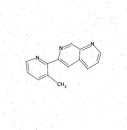 Cc1cccnc1-c1cc2cccnc2[c]n1